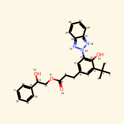 CC(C)(C)c1cc(CCC(=O)OCC(O)c2ccccc2)cc(-n2nc3ccccc3n2)c1O